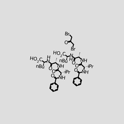 CCCC[C@H](NC(=O)[C@H](C)NC(=O)[C@@H](NC(=O)c1ccccc1)C(C)C)C(=O)O.CCCC[C@H](NC(=O)[C@H](C)NC(=O)[C@@H](NC(=O)c1ccccc1)C(C)C)C(=O)O.O=C(CBr)CBr